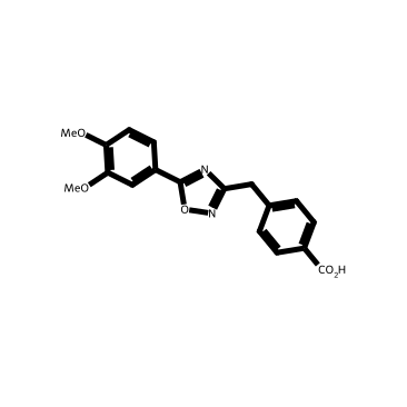 COc1ccc(-c2nc(Cc3ccc(C(=O)O)cc3)no2)cc1OC